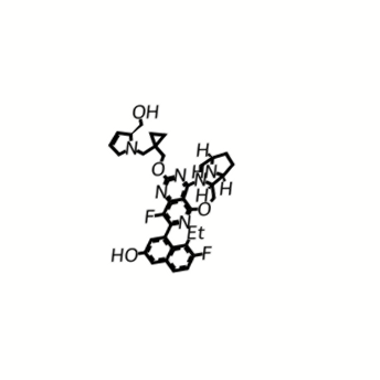 CCc1c(F)ccc2cc(O)cc(-c3nc4c5c(nc(OCC6(CN7CC=C[C@H]7CO)CC6)nc5c3F)N3C[C@@H]5CC[C@@H](N5)[C@@H]3CO4)c12